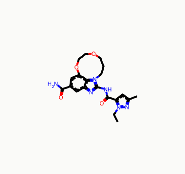 CCn1nc(C)cc1C(=O)Nc1nc2cc(C(N)=O)cc3c2n1CCCOCCO3